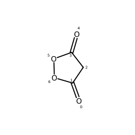 O=C1CC(=O)OO1